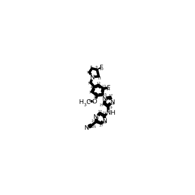 COc1cc(CN2CC[C@@H](F)C2)cc(F)c1-n1cnc(Nc2cnc(C#N)cn2)c1